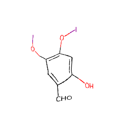 O=Cc1cc(OI)c(OI)cc1O